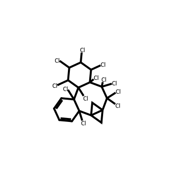 ClC1C(Cl)C(Cl)C2(Cl)C3(Cl)C=CC=CC3(Cl)C34CC3(C4)C(Cl)(Cl)C(Cl)(Cl)C2(Cl)C1Cl